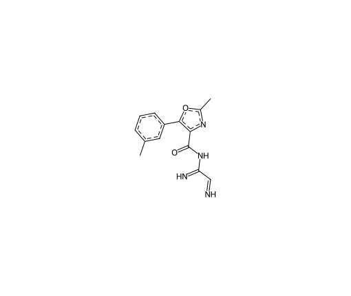 Cc1cccc(-c2oc(C)nc2C(=O)NC(=N)C=N)c1